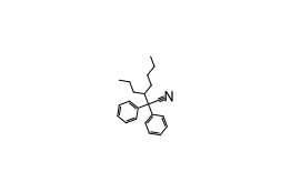 CCCCC(CCC)C(C#N)(c1ccccc1)c1ccccc1